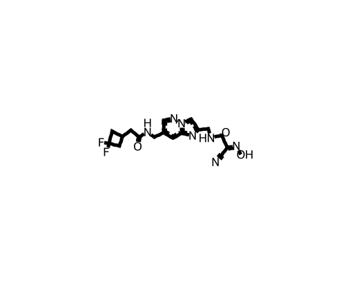 N#C/C(=N\O)C(=O)NCc1cn2ncc(CNC(=O)CC3CC(F)(F)C3)cc2n1